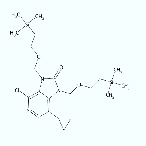 C[Si](C)(C)CCOCn1c(=O)n(COCC[Si](C)(C)C)c2c(Cl)ncc(C3CC3)c21